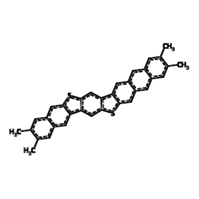 Cc1cc2cc3cc4sc5cc6c(cc5c4cc3cc2cc1C)sc1cc2cc(C)c(C)cc2cc16